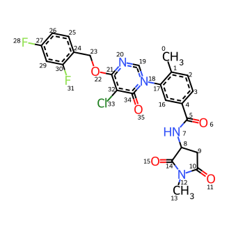 Cc1ccc(C(=O)NC2CC(=O)N(C)C2=O)cc1-n1cnc(OCc2ccc(F)cc2F)c(Cl)c1=O